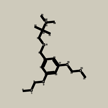 COCOc1cc(COCC(C)(C)[SiH](C)C)cc(OCOC)c1